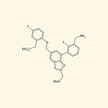 CCOC(=O)Cc1cc(F)ccc1OCc1cc(-c2cccc(CN)c2F)c2oc(COC)cc2c1